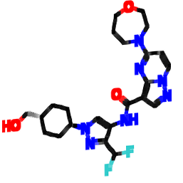 O=C(Nc1cn([C@H]2CC[C@H](CO)CC2)nc1C(F)F)c1cnn2ccc(N3CCCOCC3)nc12